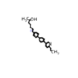 C=CCc1ccc(-c2ccc(-c3ccc(/C=C/CCCC(C)O)cc3)cc2)cn1